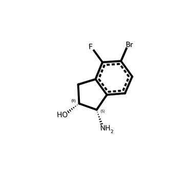 N[C@H]1c2ccc(Br)c(F)c2C[C@H]1O